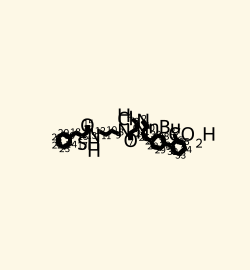 CCCCc1nc(Cl)c(C(=O)NCCCCNC(=O)C(S)Cc2ccccc2)n1Cc1ccc(-c2ccccc2C(=O)O)cc1